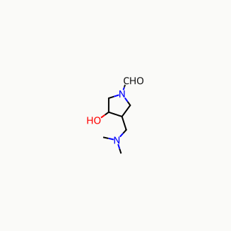 CN(C)CC1CN(C=O)CC1O